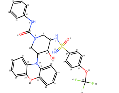 N=S(=O)(NC1CN(C(=O)Nc2ccccc2)CC(N2c3ccccc3Oc3ccccc32)C1O)c1ccc(OC(F)(F)F)cc1